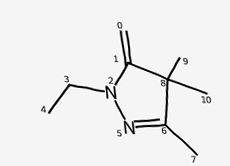 C=C1N(CC)N=C(C)C1(C)C